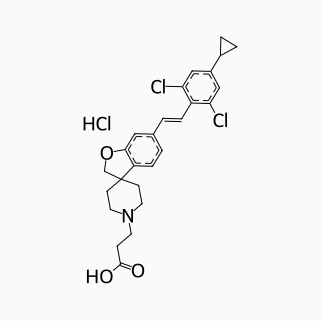 Cl.O=C(O)CCN1CCC2(CC1)COc1cc(C=Cc3c(Cl)cc(C4CC4)cc3Cl)ccc12